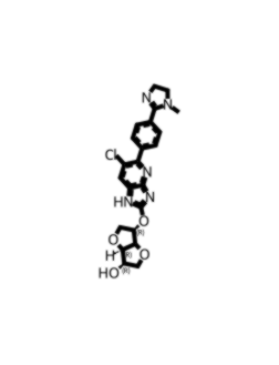 CN1CCN=C1c1ccc(-c2nc3nc(O[C@@H]4CO[C@H]5C4OC[C@H]5O)[nH]c3cc2Cl)cc1